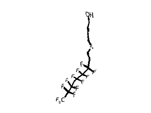 OCC=CCSCCC(F)(F)C(F)(F)C(F)(F)C(F)(F)C(F)(F)C(F)(F)F